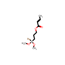 CC=CC(=O)OCCC[Si](Br)(OC)OC